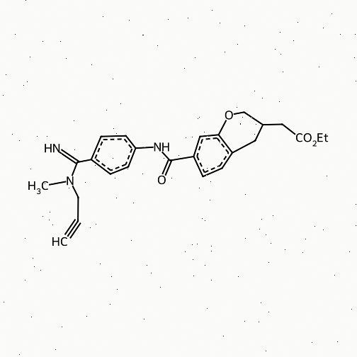 C#CCN(C)C(=N)c1ccc(NC(=O)c2ccc3c(c2)OCC(CC(=O)OCC)C3)cc1